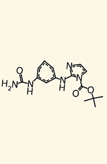 CC(C)(C)OC(=O)n1ccnc1Nc1cccc(NC(N)=O)c1